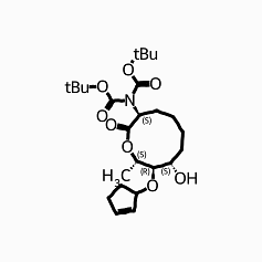 C[C@@H]1OC(=O)[C@@H](N(C(=O)OC(C)(C)C)C(=O)OC(C)(C)C)CCCC[C@H](O)[C@H]1OC1C=CCC1